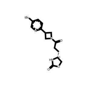 CC(C)(C)c1ccc(C2CN(C(=O)CC[C@@H]3COC(=O)N3)C2)nc1